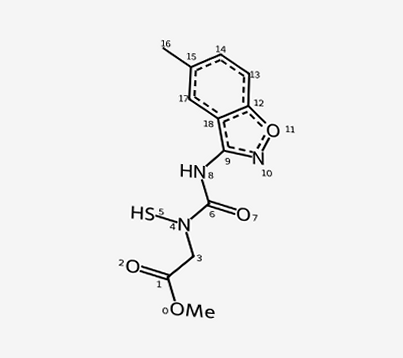 COC(=O)CN(S)C(=O)Nc1noc2ccc(C)cc12